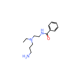 CCN(CCCN)CCNC(=O)c1ccccc1